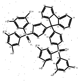 O=P(c1ccc(C2(c3ccc(P(=O)(c4cc(F)cc(F)c4)c4cc(F)cc(F)c4)cc3)c3ccccc3-c3ccccc32)cc1)(c1cc(F)cc(F)c1)c1cc(F)cc(F)c1